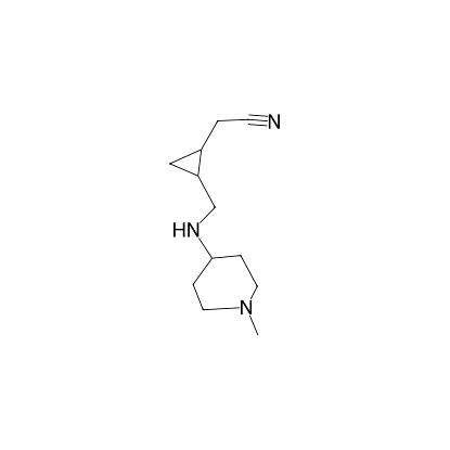 CN1CCC(NCC2CC2CC#N)CC1